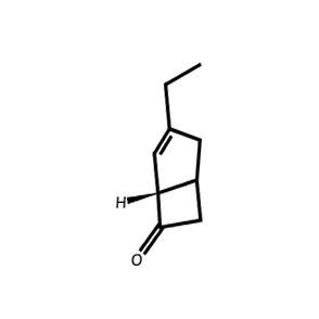 CCC1=C[C@H]2C(=O)CC2C1